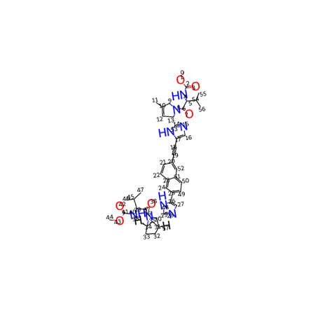 COC(=O)N[C@H](C(=O)N1CC(C)=C[C@H]1c1ncc(C#Cc2ccc3cc(-c4cnc([C@@H]5[C@@H]6CC[C@@H](C6)N5C(=O)[C@@H](NC(=O)OC)C(C)C)[nH]4)ccc3c2)[nH]1)C(C)C